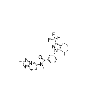 Cc1nc2ccc(N(C)C(=O)c3cccc(-n4nc(C(F)(F)F)c5c4C(C)CCC5)c3)cn2n1